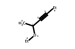 [CH2]C(C#CCC)OCC